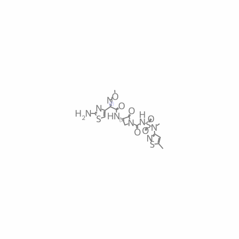 CO/N=C(\C(=O)N[C@H]1CN(C(=O)NS(=O)(=O)N(C)c2cc(C)sn2)C1=O)c1csc(N)n1